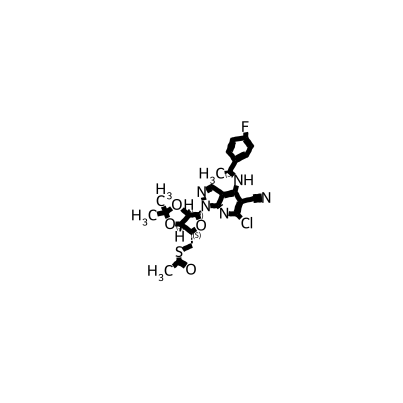 CC(=O)SC[C@H]1O[C@@H](n2ncc3c(N[C@@H](C)c4ccc(F)cc4)c(C#N)c(Cl)nc32)[C@@H]2OC(C)(C)O[C@@H]21